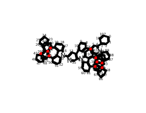 c1ccc(-c2cc(-c3cccc(-c4cc(-n5c6cccc(-n7c8ccccc8c8ccccc87)c6c6c(-n7c8ccccc8c8ccccc87)cccc65)ncc4-n4c5cccc(-n6c7ccccc7c7ccccc76)c5c5c(-n6c7ccccc7c7ccccc76)cccc54)c3)cc(-c3ccccc3)n2)cc1